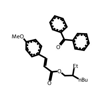 CCCCC(CC)COC(=O)C=Cc1ccc(OC)cc1.O=C(c1ccccc1)c1ccccc1